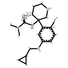 CN(C)C(=N)NC1(c2cc(OCC3CC3)ccc2F)COCC[C@H]1C=O